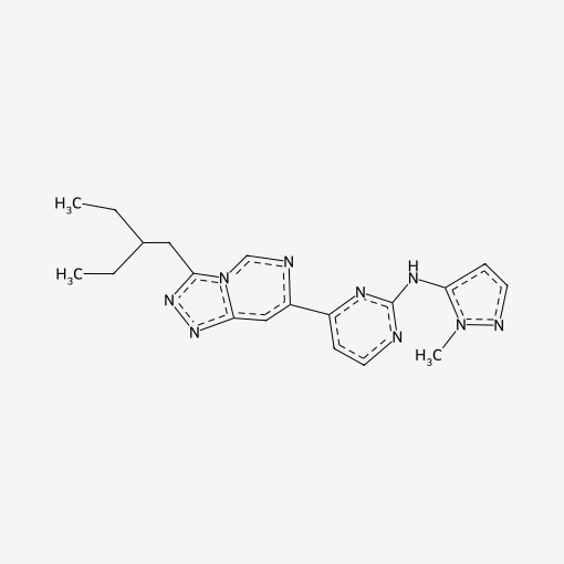 CCC(CC)Cc1nnc2cc(-c3ccnc(Nc4ccnn4C)n3)ncn12